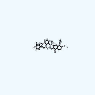 Cc1ccc2c(=O)c(CN(CCCn3cnc4c(=O)[nH]cnc43)Cc3ccncc3)c(C)oc2c1C